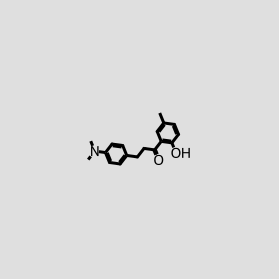 Cc1ccc(O)c(C(=O)CCc2ccc(N(C)C)cc2)c1